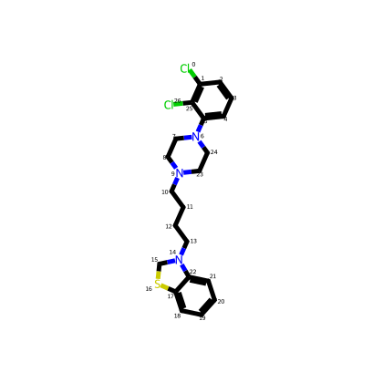 Clc1cccc(N2CCN(CCCCN3CSc4ccccc43)CC2)c1Cl